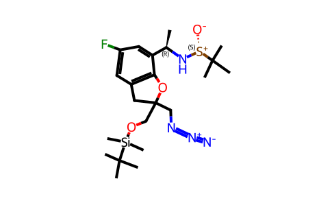 C[C@@H](N[S@+]([O-])C(C)(C)C)c1cc(F)cc2c1OC(CN=[N+]=[N-])(CO[Si](C)(C)C(C)(C)C)C2